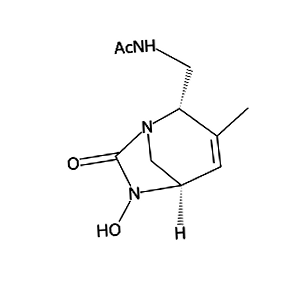 CC(=O)NC[C@@H]1C(C)=C[C@@H]2CN1C(=O)N2O